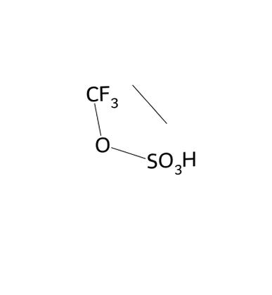 CC.O=S(=O)(O)OC(F)(F)F